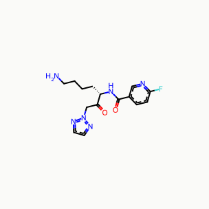 NCCCC[C@H](NC(=O)c1ccc(F)nc1)C(=O)Cn1nccn1